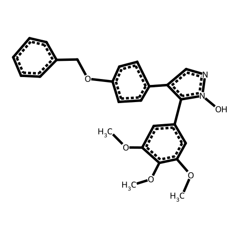 COc1cc(-c2c(-c3ccc(OCc4ccccc4)cc3)cnn2O)cc(OC)c1OC